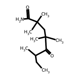 CCC(C)C(=O)C(C)(C)CC(C)(C)C(N)=O